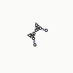 Cc1cc(C)c(N(c2ccc(/C=C/c3ccccc3)cc2)c2ccc(-c3ccc(N(c4ccc(/C=C/c5ccccc5)cc4)c4c(C)cc(C)cc4C)c(C)c3)cc2C)c(C)c1